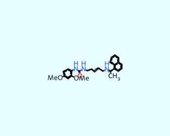 COc1ccc(NC(=O)NCC/C=C/CN[C@H](C)c2cccc3ccccc23)c(OC)c1